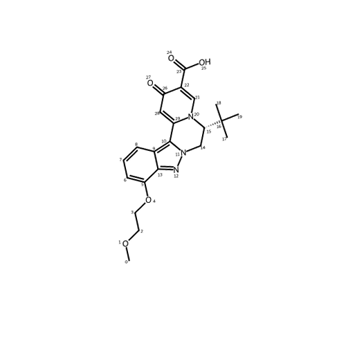 COCCOc1cccc2c3n(nc12)C[C@@H](C(C)(C)C)n1cc(C(=O)O)c(=O)cc1-3